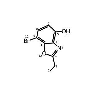 CCc1nc2c(O)ccc(Br)c2o1